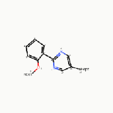 CCCCCCCCOc1ccccc1-c1ncc(CCCCCCC)cn1